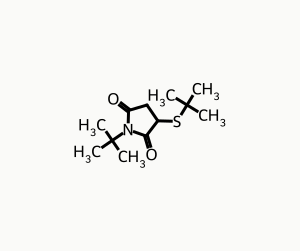 CC(C)(C)SC1CC(=O)N(C(C)(C)C)C1=O